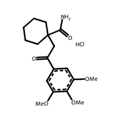 COc1cc(C(=O)CC2(C(N)=O)CCCCC2)cc(OC)c1OC.Cl